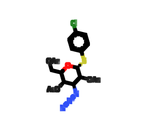 CC(=O)OCC1O[C@H](Sc2ccc(Cl)cc2)C(OC(C)=O)[C@@H](N=[N+]=[N-])[C@H]1OC(C)=O